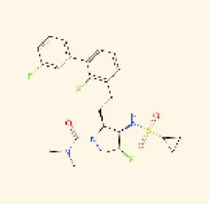 CN(C)C(=O)N1C[C@H](F)[C@H](NS(=O)(=O)C2CC2)[C@@H]1CCc1cccc(-c2cccc(F)c2)c1F